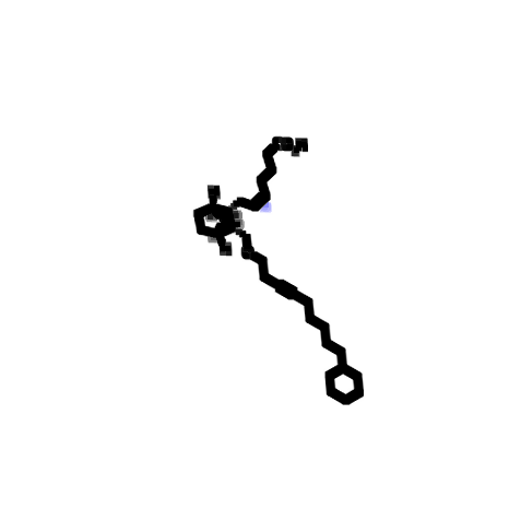 O=C(O)CCC/C=C\C[C@@H]1[C@H](COCCC#CCCCCCC2CCCCC2)[C@@H]2CC[C@H]1S2